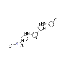 CN(C)C(/C=C/C=O)N1CCC(Nc2cncc(-c3cnc(Nc4cccc(Cl)c4)nc3)c2)CC1